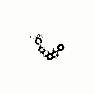 CC1(C)CCN(c2cnc(Sc3ccc4ncn(-c5ccccc5)c(=O)c4c3Cl)cn2)CC1